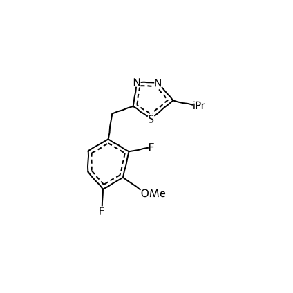 COc1c(F)ccc(Cc2nnc(C(C)C)s2)c1F